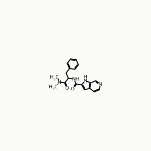 CN(C)C(=O)C(Cc1ccccc1)NC(=O)c1cc2ccncc2[nH]1